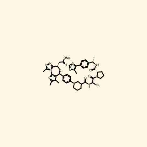 COC(=O)C[C@@H]1N=C(c2ccc(N3CCCC(C(=O)NC(C(=O)N4CCC[C@H]4C(=O)N[C@@H](C)c4ccc(-c5scnc5C)cc4)C(C)(C)C)C3)cc2)c2c(sc(C)c2C)-n2c(C)nnc21